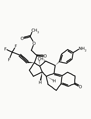 CC(=O)OCC(=O)[C@@]1(C#CC(F)(F)F)CC[C@H]2[C@@H]3CCC4=CC(=O)CCC4=C3[C@@H](c3ccc(N)cc3)C[C@@]21C